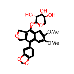 COc1cc2c(OC3OC[C@H](O)[C@H](O)[C@H]3O)c3c(c(-c4ccc5c(c4)OCO5)c2cc1OC)COC3